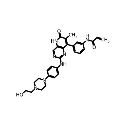 C=CC(=O)Nc1cccc(-c2c(C)c(=O)[nH]c3cnc(Nc4ccc(N5CCN(CCO)CC5)cc4)nc23)c1